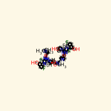 CCc1c(F)ccc2cc(O)cc(-c3ncc4c(N5C[C@@H]6C[C@H](C5)[C@H](OC(=O)N(C)CC[C@H]5CC[C@@]7(COc8nc(N9CCC[C@@](C)(O)C9)c9cnc(-c%10cc(O)cc%11ccc(F)c(CC)c%10%11)c(F)c9n8)CCCN57)C6)nc(OCC5(CN(C)C)CC5)nc4c3F)c12